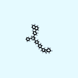 c1ccc(-c2nc(-c3ccc(-c4ccc(-c5ccc6sc7ccccc7c6c5)cc4)cc3)cc(-c3ccc(-c4cccc5ccccc45)cc3)n2)cc1